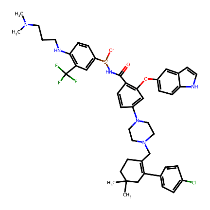 CN(C)CCCNc1ccc([S+]([O-])NC(=O)c2ccc(N3CCN(CC4=C(c5ccc(Cl)cc5)CC(C)(C)CC4)CC3)cc2Oc2ccc3[nH]ccc3c2)cc1C(F)(F)F